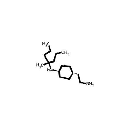 CCCC(C)(CCC)N[C@H]1CC[C@H](CCN)CC1